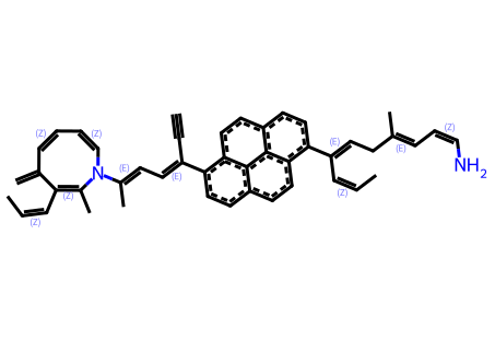 C#C/C(=C\C=C(/C)N1/C=C\C=C/C(=C)C(/C=C\C)=C\1C)c1ccc2ccc3c(C(/C=C\C)=C/C/C(C)=C/C=C\N)ccc4ccc1c2c43